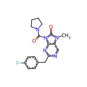 Cn1c(=O)n(C(=O)N2CCCC2)c2nc(Cc3ccc(F)cc3)ncc21